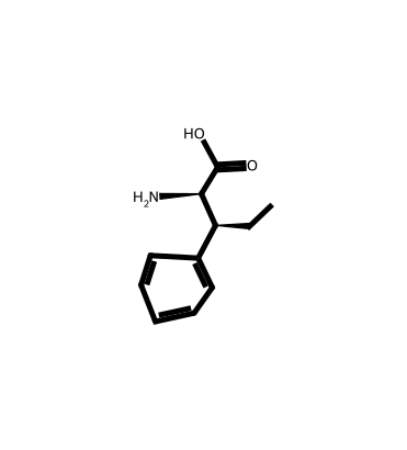 CC[C@@H](c1ccccc1)[C@@H](N)C(=O)O